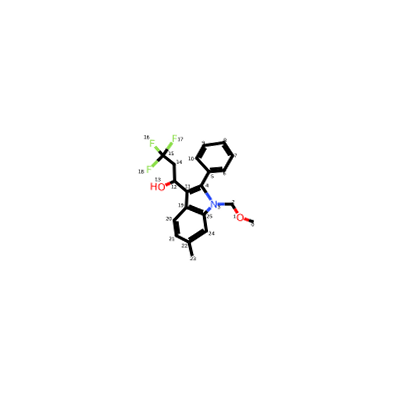 COCn1c(-c2ccccc2)c(C(O)CC(F)(F)F)c2ccc(C)cc21